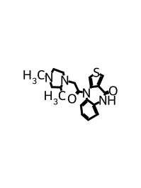 CC1CN(C)CCN1CC(=O)N1c2ccccc2NC(=O)c2cscc21